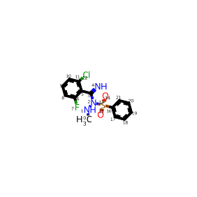 CNN(C(=N)c1c(F)cccc1Cl)S(=O)(=O)c1ccccc1